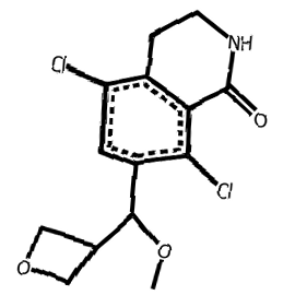 COC(c1cc(Cl)c2c(c1Cl)C(=O)NCC2)C1COC1